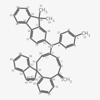 C=C1/C=C\C(N(c2ccc(C)cc2)c2ccc3c(c2)C(C)(C)c2ccccc2-3)=C/CC2(c3ccccc31)c1ccccc1-c1ccccc12